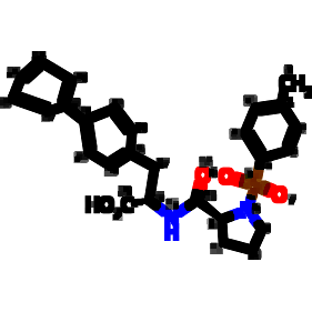 Cc1ccc(S(=O)(=O)N2CCC[C@H]2C(=O)N[C@@H](Cc2ccc(-c3ccccc3)cc2)C(=O)O)cc1